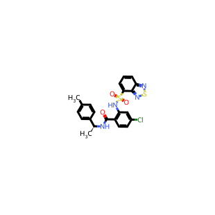 Cc1ccc([C@@H](C)NC(=O)c2ccc(Cl)cc2NS(=O)(=O)c2cccc3nsnc23)cc1